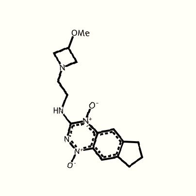 COC1CN(CCNc2n[n+]([O-])c3cc4c(cc3[n+]2[O-])CCC4)C1